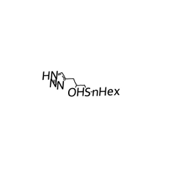 CCCCCCSCC(O)Cc1c[nH]nn1